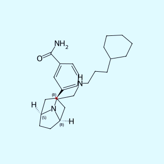 NC(=O)c1cccc([C@H]2C[C@H]3CC[C@@H](C2)N3CCNCCCC2CCCCC2)c1